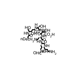 CCCCCCCCCCCC(=O)NC(CO)C(O)CC(=O)N[C@@H](CO)C(=O)N[C@H](C(=O)N[C@@H](CCN)C(=O)N[C@@H](CCCN(O)C=O)C(=O)NCCCCN)[C@@H](O)C(=O)O